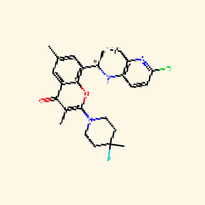 Cc1cc([C@@H](C)Nc2ccc(Cl)nc2C(=O)O)c2oc(N3CCC(C)(F)CC3)c(C)c(=O)c2c1